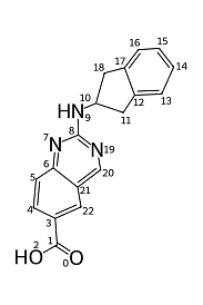 O=C(O)c1ccc2nc(NC3Cc4ccccc4C3)ncc2c1